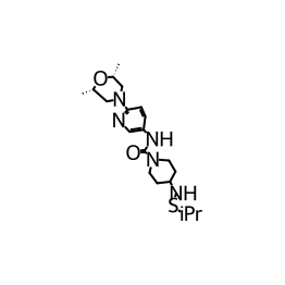 CC(C)SNC1CCN(C(=O)Nc2ccc(N3C[C@@H](C)O[C@@H](C)C3)nc2)CC1